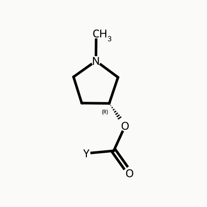 CN1CC[C@@H](O[C](=O)[Y])C1